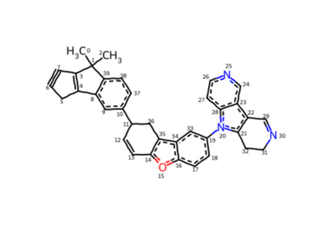 CC1(C)C2=C(CC#C2)c2cc(C3C=Cc4oc5ccc(-n6c7c(c8cnccc86)C=NCC7)cc5c4C3)ccc21